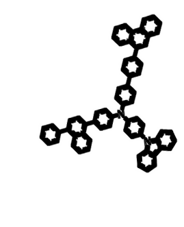 c1ccc(-c2ccc(-c3ccc(N(c4ccc(-c5ccc(-c6cc7ccccc7c7ccccc67)cc5)cc4)c4ccc(-n5c6ccccc6c6ccccc65)cc4)cc3)c3ccccc23)cc1